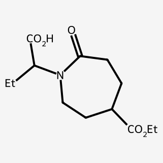 CCOC(=O)C1CCC(=O)N(C(CC)C(=O)O)CC1